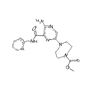 COC(=O)N1CCN(c2cnc(N)c(C(=O)Nc3ccccn3)n2)CC1